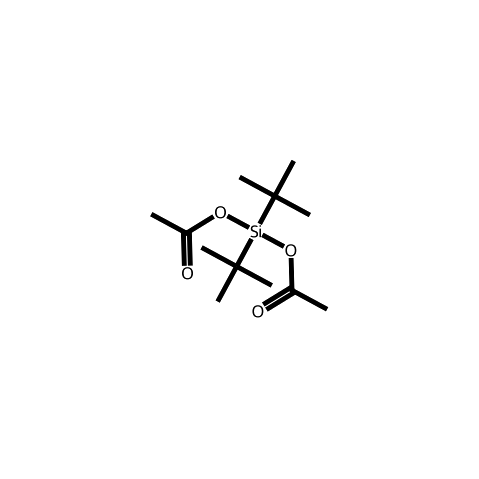 CC(=O)O[Si](OC(C)=O)(C(C)(C)C)C(C)(C)C